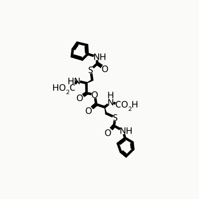 O=C(O)N[C@@H](CSC(=O)Nc1ccccc1)C(=O)OC(=O)[C@H](CSC(=O)Nc1ccccc1)NC(=O)O